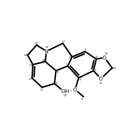 COc1c2c(cc3c1C1C(O)CC=C4CCN(C3)C41)OCO2